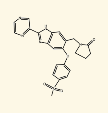 CS(=O)(=O)c1ccc(Oc2cc3nc(-c4cnccn4)[nH]c3cc2CN2CCCC2=O)cc1